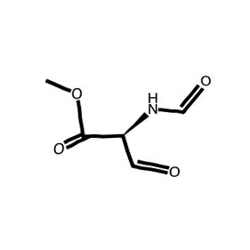 COC(=O)[C@H](C=O)NC=O